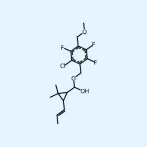 CC=CC1C(C(O)OCc2c(F)c(F)c(COC)c(F)c2Cl)C1(C)C